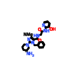 CNc1nc(N2CCC[C@@H](N)C2)n(Cc2ccccc2)c1C(=O)NCC(=O)Nc1ncccc1O